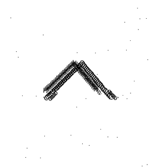 O.O.O.O.O.O.O.O.O.O.O.O.O.O.O.O.O.O.O.O.O.O.O.O.O.O.O.O.O.O.O.O.O.O.O.O.O.O.O.O.[Co].[Co].[Co].[Co].[Co].[Co].[Co].[Co].[Co].[Co]